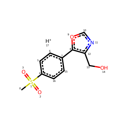 CS(=O)(=O)c1ccc(-c2ocnc2CO)cc1.[H+]